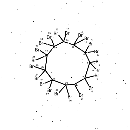 BrC1C(Br)(Br)C(Br)(Br)C(Br)(Br)C(Br)(Br)C(Br)(Br)C(Br)(Br)C(Br)(Br)C(Br)(Br)C(Br)(Br)C1(Br)Br